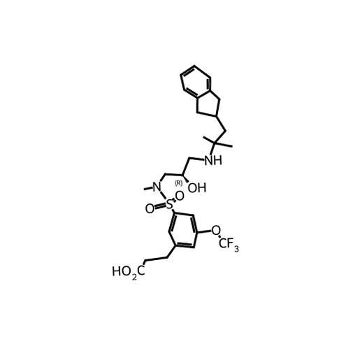 CN(C[C@H](O)CNC(C)(C)CC1Cc2ccccc2C1)S(=O)(=O)c1cc(CCC(=O)O)cc(OC(F)(F)F)c1